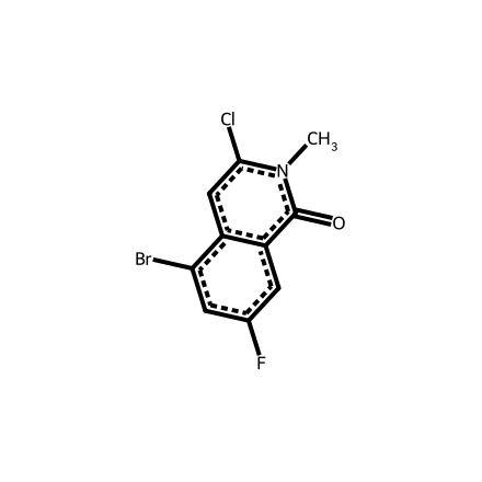 Cn1c(Cl)cc2c(Br)cc(F)cc2c1=O